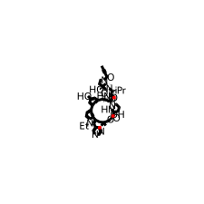 CC#CC(=O)N1CC[C@@](O)(C(=O)N(C)[C@H](C(=O)N[C@H]2Cc3cc(O)cc(c3)-c3ccc4c(c3)c(c(-c3cncnc3)n4CC)CC(C)(C)COC(=O)[C@@]3(O)CCCN(N3)C2=O)C(C)C)C1